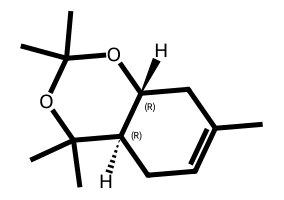 CC1=CC[C@@H]2[C@@H](C1)OC(C)(C)OC2(C)C